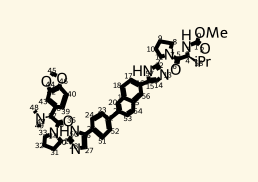 COC(=O)N[C@H](C(=O)N1CCC[C@H]1c1ncc(-c2ccc3cc(-c4ccc(-c5cnc([C@@H]6CCCN6C(=O)[C@@H](c6ccc7c(c6)OCO7)N(C)C)[nH]5)cc4)ccc3c2)[nH]1)C(C)C